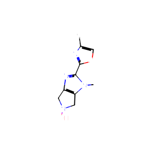 Cn1c(-c2nc(C(F)(F)F)co2)nc2c1CN(O)C2